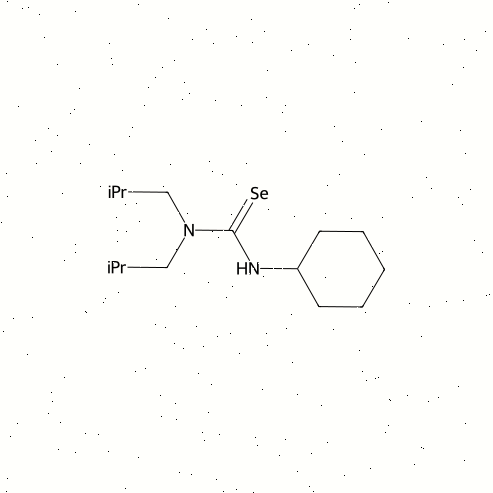 CC(C)CN(CC(C)C)C(=[Se])NC1CCCCC1